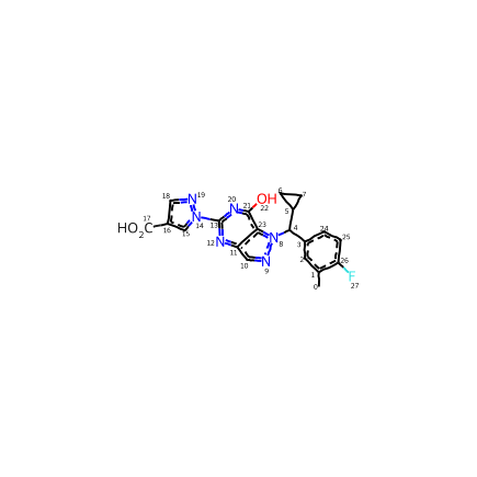 Cc1cc(C(C2CC2)n2ncc3nc(-n4cc(C(=O)O)cn4)nc(O)c32)ccc1F